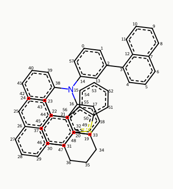 c1cc(-c2cccc3ccccc23)cc(N(c2ccccc2-c2cccc3cccc(C4CCCCC4)c23)c2ccccc2-c2cccc3sc4ccccc4c23)c1